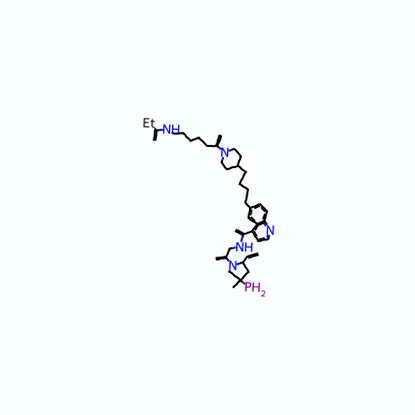 C=CC1CC(C)(P)CN1C(=C)CNC(=C)c1ccnc2ccc(CCCCC3CCN(C(=C)CCCCCNC(=C)CC)CC3)cc12